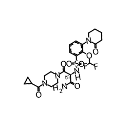 NC(=O)[C@H](NS(=O)(=O)c1cccc(N2CCCCC2=O)c1OC(F)F)C(=O)N1CCN(C(=O)C2CC2)CC1